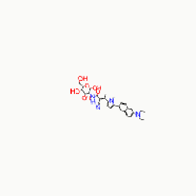 CCN(CC)c1ccc2cc(-c3ccc(/C(C)=C(\C#N)C(=O)N[C@H]4C(O)O[C@H](CO)[C@@H](O)[C@@H]4O)n3C)ccc2c1